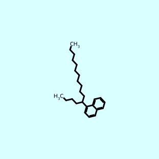 CCCCCCCCCCCC(CCCC)c1cccc2ccccc12